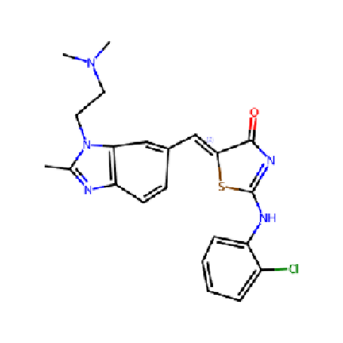 Cc1nc2ccc(/C=C3\SC(Nc4ccccc4Cl)=NC3=O)cc2n1CCN(C)C